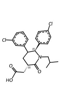 CC(C)CN1C(=O)[C@H](CC(=O)O)CC(c2cccc(Cl)c2)[C@H]1c1ccc(Cl)cc1